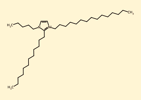 CCCCCCCCCCCCCCC[n+]1ccn(CCCCC)c1CCCCCCCCCCCC